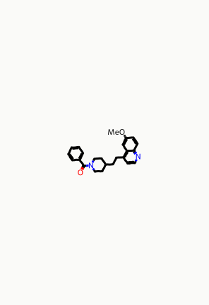 COc1ccc2nccc(CCC3CCN(C(=O)c4ccccc4)CC3)c2c1